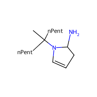 CCCCCC(C)(CCCCC)N1C=CCC1N